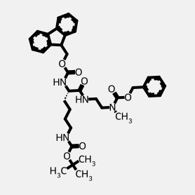 CN(CCNC(=O)[C@H](CCCCNC(=O)OC(C)(C)C)NC(=O)OCC1c2ccccc2-c2ccccc21)C(=O)OCc1ccccc1